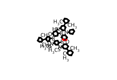 CSN1c2cc3c(cc2B2c4ccccc4Oc4cc(-c5c(C)cccc5C)cc1c42)B1c2cc4c(cc2Oc2cc(-c5c(C)cccc5C)cc(c21)N3SC)Nc1cc(-c2c(C)cccc2C)cc2c1B4c1ccccc1N2c1ccccc1